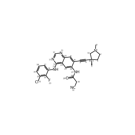 CN1CC[C@](C)(C#Cc2cc3ncnc(Nc4cccc(Cl)c4F)c3cc2NC(=O)CC#N)C1